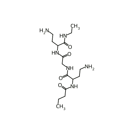 CCCC(=O)NC(CCN)C(=O)NCC(=O)NC(CCN)C(=O)NCC